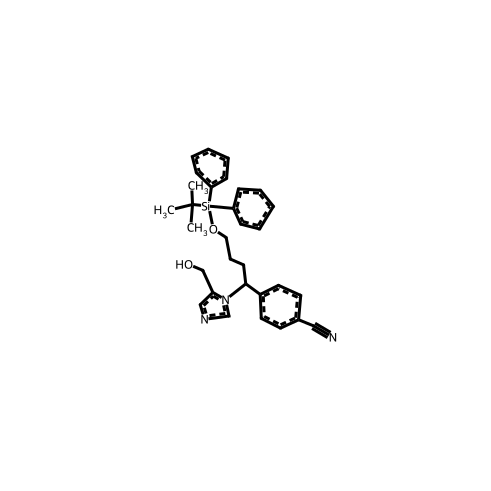 CC(C)(C)[Si](OCCCC(c1ccc(C#N)cc1)n1cncc1CO)(c1ccccc1)c1ccccc1